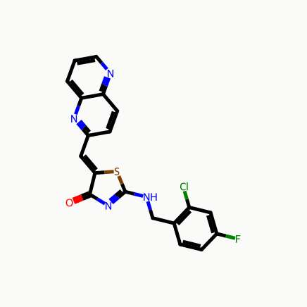 O=C1N=C(NCc2ccc(F)cc2Cl)S/C1=C\c1ccc2ncccc2n1